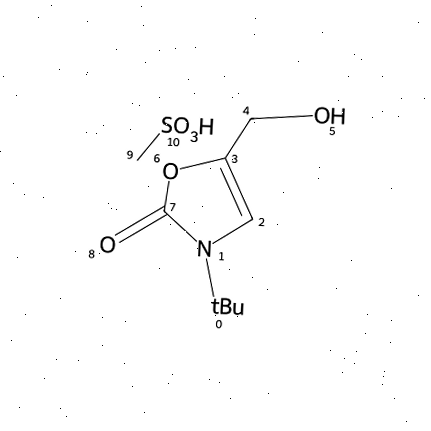 CC(C)(C)n1cc(CO)oc1=O.CS(=O)(=O)O